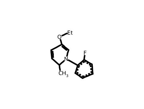 CCOC1=CN(c2ccccc2F)C(C)C=C1